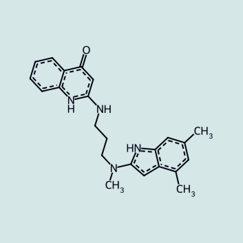 Cc1cc(C)c2cc(N(C)CCCNc3cc(=O)c4ccccc4[nH]3)[nH]c2c1